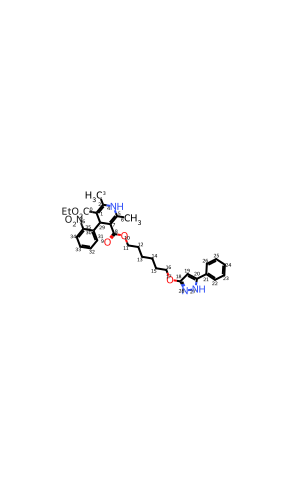 CCOC(=O)C1=C(C)NC(C)=C(C(=O)OCCCCCCOc2cc(-c3ccccc3)[nH]n2)C1c1ccccc1[N+](=O)[O-]